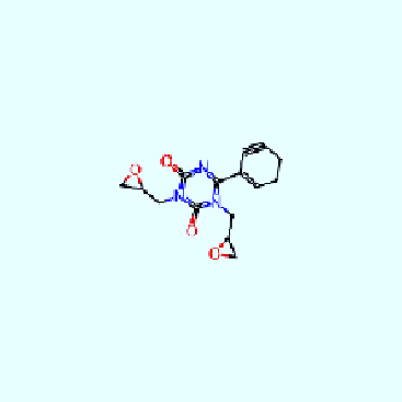 O=c1nc(C2=CCCC#C2)n(CC2CO2)c(=O)n1CC1CO1